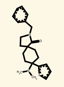 CN(C)C1(c2cccs2)CCC2(CCN(Cc3ccccc3)C2=O)CC1